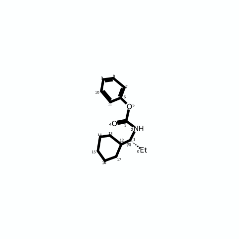 CC[C@@H](NC(=O)Oc1ccccc1)C1CCCCC1